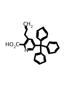 C=CCc1cc(C(c2ccccc2)(c2ccccc2)c2ccccc2)cnc1C(=O)O